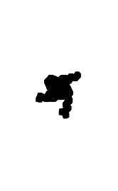 CCCCOc1c2ccccc2c(OCCCC)c2cc(CCCC(C)C)ccc12